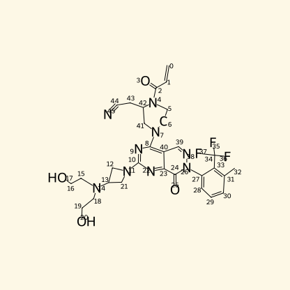 C=CC(=O)N1CCN(c2nc(N3CC(N(CCO)CCO)C3)nc3c(=O)n(-c4cccc(C)c4C(F)(F)F)ncc23)CC1CC#N